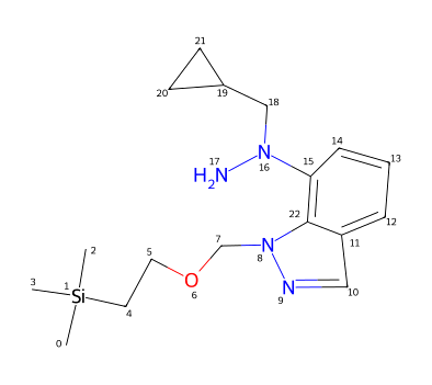 C[Si](C)(C)CCOCn1ncc2cccc(N(N)CC3CC3)c21